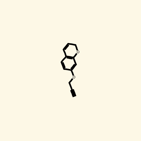 C#CCOc1ccc2c(c1)OCC=C2